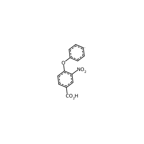 O=C(O)c1ccc(Oc2cc[c]cc2)c([N+](=O)[O-])c1